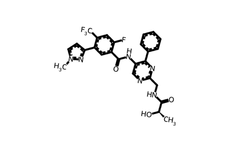 C[C@@H](O)C(=O)NCc1ncc(NC(=O)c2cc(-c3ccn(C)n3)c(C(F)(F)F)cc2F)c(-c2ccccc2)n1